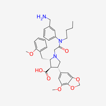 CCCCN(C(=O)CN1C[C@H](c2cc(OC)c3c(c2)OCO3)[C@@H](C(=O)O)[C@@H]1Cc1ccccc1OC)c1cccc(CN)c1